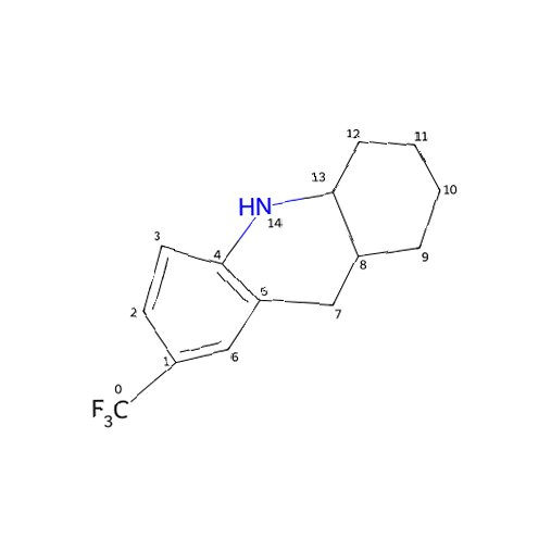 FC(F)(F)c1ccc2c(c1)CC1CCCCC1N2